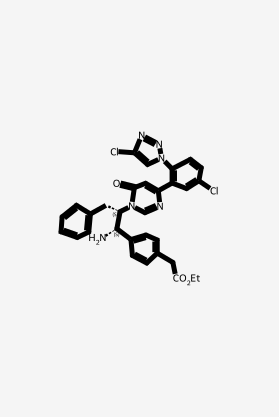 CCOC(=O)Cc1ccc([C@H](N)[C@H](Cc2ccccc2)n2cnc(-c3cc(Cl)ccc3-n3cc(Cl)nn3)cc2=O)cc1